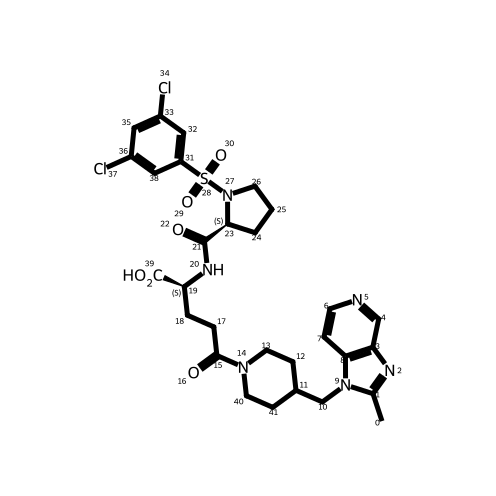 Cc1nc2cnccc2n1CC1CCN(C(=O)CC[C@H](NC(=O)[C@@H]2CCCN2S(=O)(=O)c2cc(Cl)cc(Cl)c2)C(=O)O)CC1